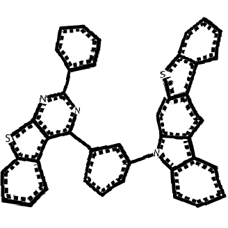 c1ccc(-c2nc(-c3cccc(-n4c5ccccc5c5cc6c(cc54)sc4ccccc46)c3)c3c(n2)sc2ccccc23)cc1